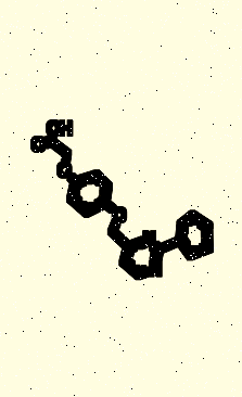 O=C(O)COc1ccc(OCc2ccnc(-c3ccccc3)n2)cc1